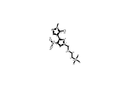 Cn1ncc(-c2nn(COCC[Si](C)(C)C)cc2[N+](=O)[O-])c1Cl